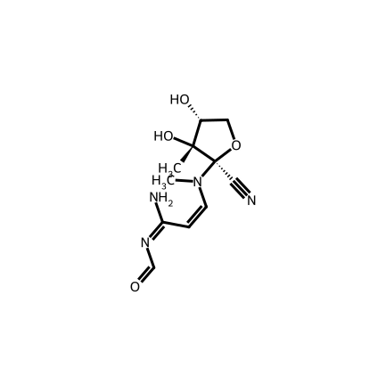 CN(/C=C\C(N)=N/C=O)[C@]1(C#N)OC[C@@H](O)[C@@]1(C)O